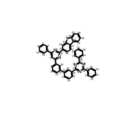 c1ccc(-c2cc(-c3cccc(-c4cccc(-c5nc(-c6ccccc6)nc(-c6ccccc6)n5)c4)c3)nc(-c3ccc4c(c3)sc3ccccc34)n2)cc1